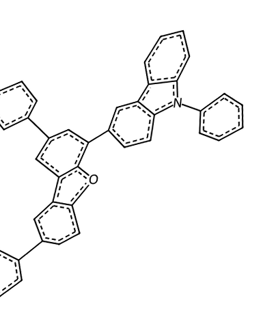 c1ccc(-c2ccc3oc4c(-c5ccc6c(c5)c5ccccc5n6-c5ccccc5)cc(-c5ccccc5)cc4c3c2)cc1